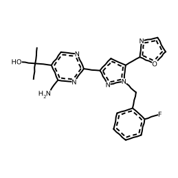 CC(C)(O)c1cnc(-c2cc(-c3ncco3)n(Cc3ccccc3F)n2)nc1N